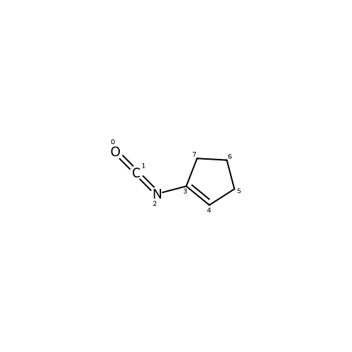 O=C=NC1=CCCC1